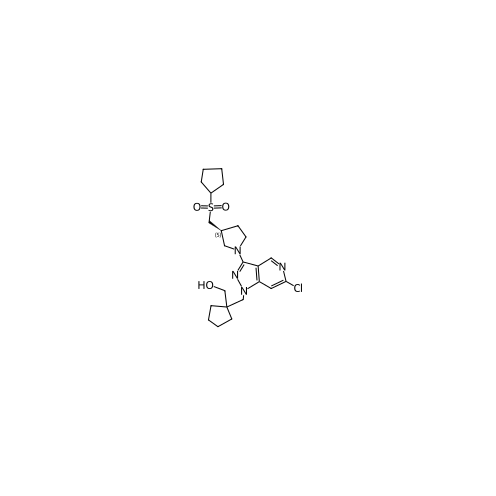 O=S(=O)(C[C@H]1CCN(c2nn(CC3(CO)CCCC3)c3cc(Cl)ncc23)C1)C1CCCC1